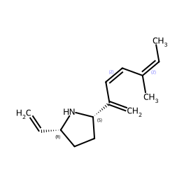 C=C[C@H]1CC[C@@H](C(=C)/C=C\C(C)=C/C)N1